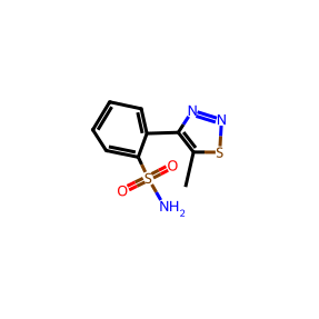 Cc1snnc1-c1ccccc1S(N)(=O)=O